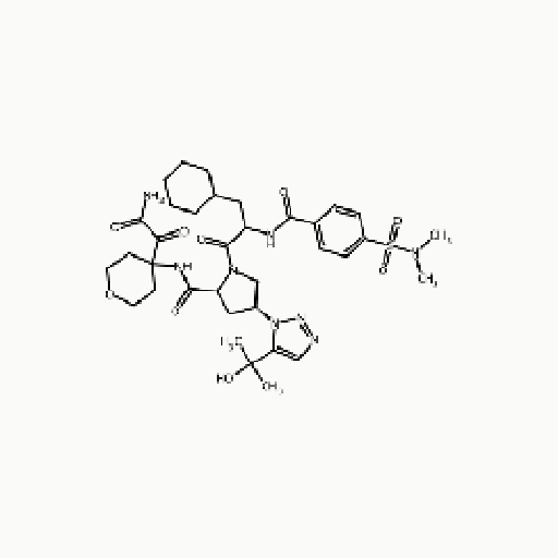 CN(C)S(=O)(=O)c1ccc(C(=O)NC(CC2CCCCC2)C(=O)N2C[C@@H](n3nncc3C(C)(C)O)C[C@H]2C(=O)NC2(C(=O)C(N)=O)CCOCC2)cc1